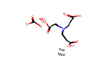 O=C(O)CN(CC(=O)O)CC(=O)O.O=C([O-])[O-].[Na+].[Na+]